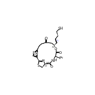 CC(C)C1NC(=O)[C@H]2CSC(=N2)c2csc(n2)CCC(=O)C[C@@H](/C=C/CCS)OC1=O